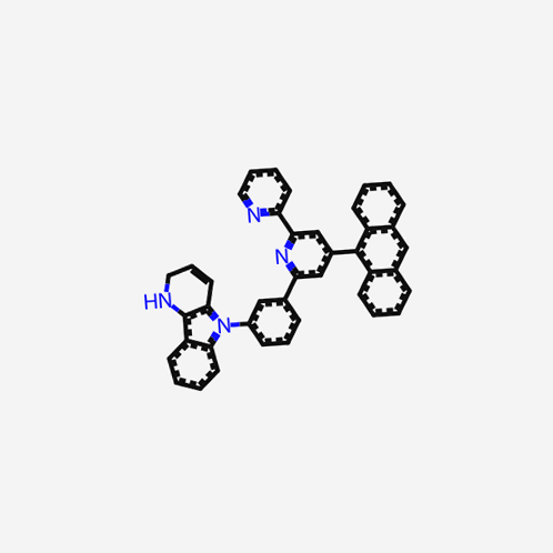 C1=Cc2c(c3ccccc3n2-c2cccc(-c3cc(-c4c5ccccc5cc5ccccc45)cc(-c4ccccn4)n3)c2)NC1